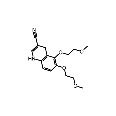 COCCOc1ccc2c(c1OCCOC)CC(C#N)=CN2